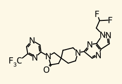 O=C1CC2(CCN(c3cnc4cnn(CC(F)F)c4n3)CC2)CN1c1cncc(C(F)(F)F)n1